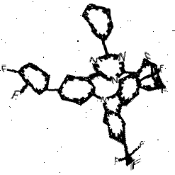 Fc1ccc(-c2ccc(-n3c4ccc(C(F)(F)F)cc4c4cc(C(F)(F)F)ccc43)c(-c3nc(-c4ccccc4)nc(-c4ccccc4)n3)c2)cc1F